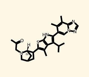 CC(=O)CN1CC2CC(c3sc4[nH]c(-c5cn6ncnc6c(C)c5C)c(C(C)C)c4c3C)[C@@H]1C2